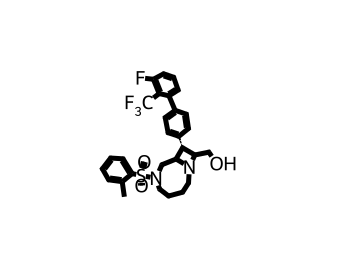 Cc1ccccc1S(=O)(=O)N1CCCCN2C(CO)[C@@H](c3ccc(-c4cccc(F)c4C(F)(F)F)cc3)C2C1